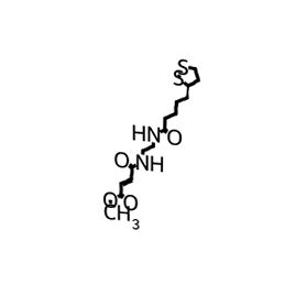 COC(=O)/C=C/C(=O)NCCNC(=O)CCCC[C@@H]1CCSS1